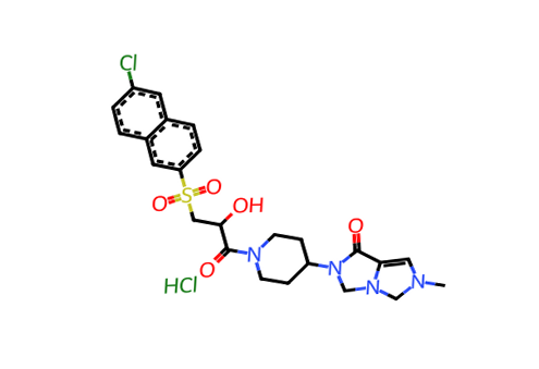 CN1C=C2C(=O)N(C3CCN(C(=O)C(O)CS(=O)(=O)c4ccc5cc(Cl)ccc5c4)CC3)CN2C1.Cl